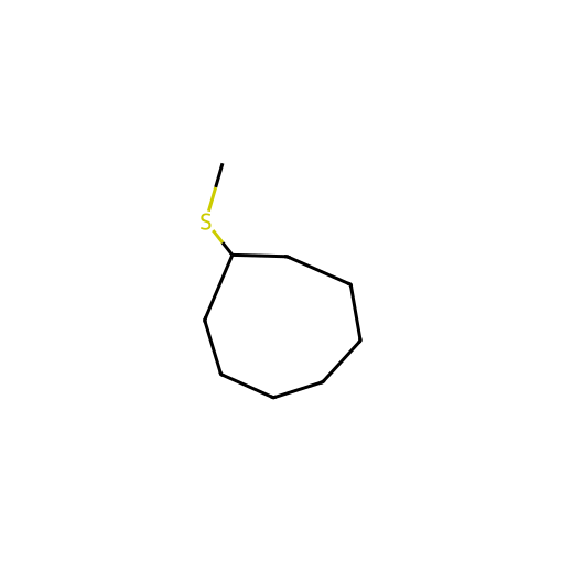 CSC1CCCCCCC1